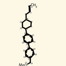 CC=CCC1CCC(c2ccc(-c3ccc(COC)cc3)cc2)CC1